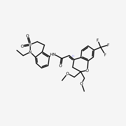 CCN1c2cccc(NC(=O)/C=C3\CC(COC)(COC)Oc4cc(C(F)(F)F)ccc43)c2CCS1(=O)=O